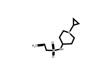 C=CCS(=O)(=O)NC1CCN(C2CC2)CC1